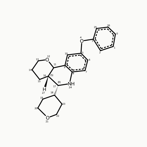 c1ccc(Oc2ccc3c(c2)C2OCCC[C@H]2[C@@H](C2CCOCC2)N3)cc1